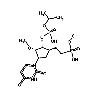 CO[C@H]1C(n2ccc(=O)[nH]c2=O)C[C@H](CCP(=O)(O)OC)[C@H]1OP(O)(=S)OC(C)C